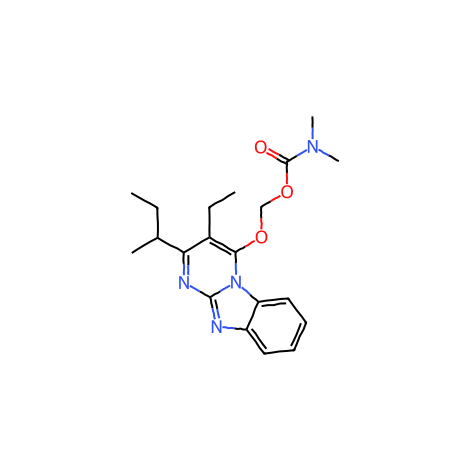 CCc1c(C(C)CC)nc2nc3ccccc3n2c1OCOC(=O)N(C)C